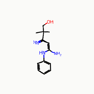 CC(C)(CO)C(=N)/C=C(/N)Nc1ccccc1